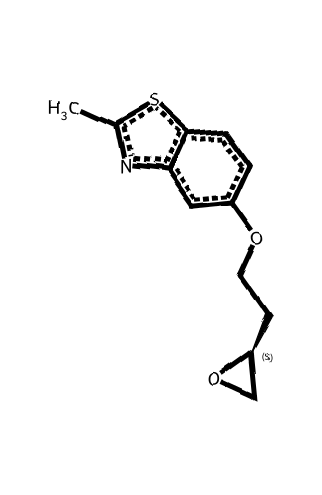 Cc1nc2cc(OCC[C@H]3CO3)ccc2s1